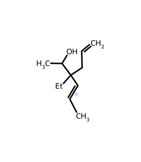 C=CCC(/C=C/C)(CC)C(C)O